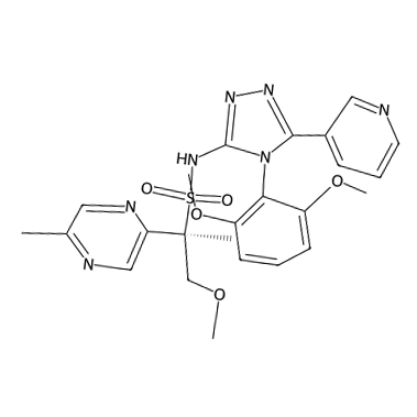 COC[C@@](C)(c1cnc(C)cn1)S(=O)(=O)Nc1nnc(-c2cccnc2)n1-c1c(OC)cccc1OC